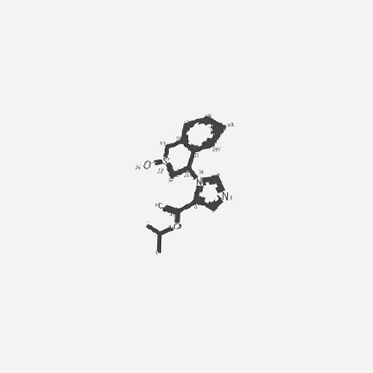 CC(C)OC(=O)c1cncn1C1C[S+]([O-])Cc2ccccc21